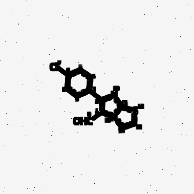 O=Cc1c(-c2ccc(Cl)cc2)nc2sccn12